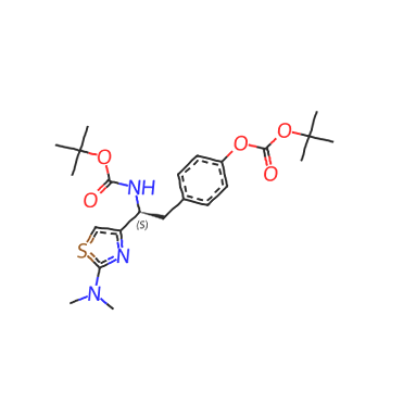 CN(C)c1nc([C@H](Cc2ccc(OC(=O)OC(C)(C)C)cc2)NC(=O)OC(C)(C)C)cs1